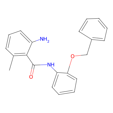 Cc1cccc(N)c1C(=O)Nc1ccccc1OCc1ccccc1